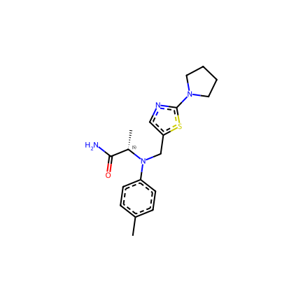 Cc1ccc(N(Cc2cnc(N3CCCC3)s2)[C@@H](C)C(N)=O)cc1